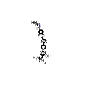 CN(C)Cc1cnc(N2CCC(c3nc(COc4ccc(N/C=N\N=N)cc4F)cs3)CC2)nc1O